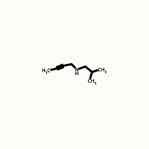 CC#CCNCC(C)C